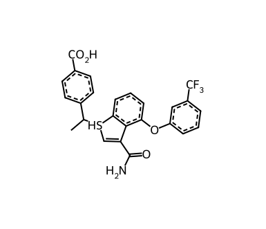 CC(c1ccc(C(=O)O)cc1)[SH]1C=C(C(N)=O)c2c(Oc3cccc(C(F)(F)F)c3)cccc21